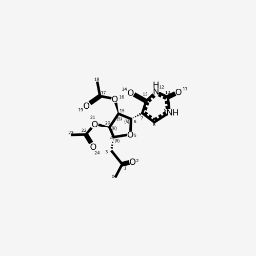 CC(=O)C[C@H]1O[C@@H](c2c[nH]c(=O)[nH]c2=O)[C@H](OC(C)=O)[C@@H]1OC(C)=O